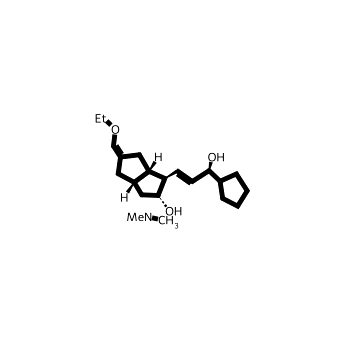 CCOC=C1C[C@H]2C[C@@H](O)[C@H](C=C[C@@H](O)C3CCCC3)[C@H]2C1.CNC